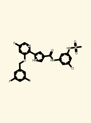 CS(=O)(=O)Nc1cc(Cl)cc(NC(=O)c2c[nH]c(-c3ncc(F)cc3OCc3cc(F)cc(F)c3)c2)c1